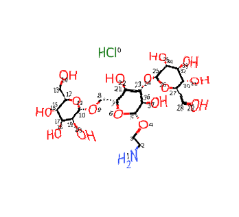 Cl.NCCO[C@@H]1O[C@H](CO[C@H]2O[C@H](CO)[C@@H](O)[C@H](O)[C@@H]2O)[C@@H](O)[C@H](O[C@H]2O[C@H](CO)[C@@H](O)[C@H](O)[C@@H]2O)[C@H]1O